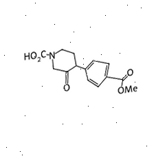 COC(=O)c1ccc(C2CCN(C(=O)O)CC2=O)cc1